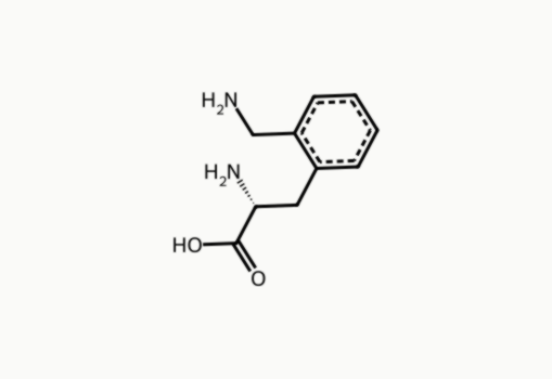 NCc1ccccc1C[C@@H](N)C(=O)O